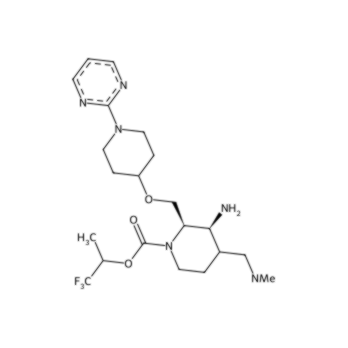 CNCC1CCN(C(=O)OC(C)C(F)(F)F)[C@@H](COC2CCN(c3ncccn3)CC2)[C@H]1N